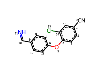 N#Cc1ccc(Oc2ccc(C=N)cc2)c(Cl)c1